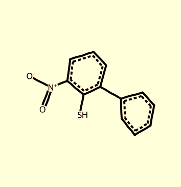 O=[N+]([O-])c1cccc(-c2ccccc2)c1S